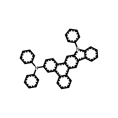 c1ccc(N(c2ccccc2)c2ccc3c(c2)c2ccccc2c2cc4c5ccccc5n(-c5ccccc5)c4cc32)cc1